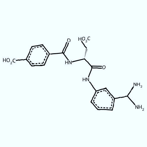 NC(N)c1cccc(NC(=O)[C@@H](CC(=O)O)NC(=O)c2ccc(C(=O)O)cc2)c1